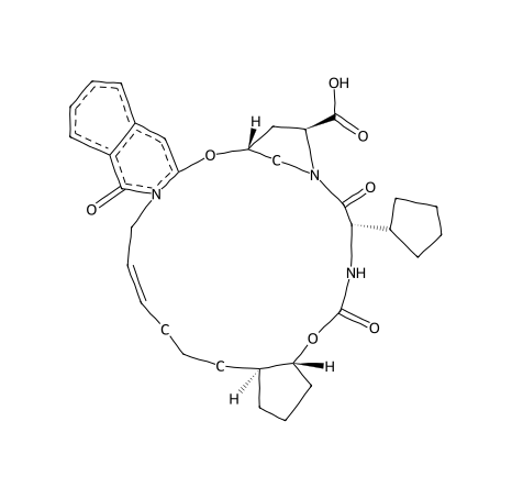 O=C1N[C@@H](C2CCCC2)C(=O)N2C[C@@H](C[C@H]2C(=O)O)Oc2cc3ccccc3c(=O)n2CC=CCCC[C@@H]2CCC[C@H]2O1